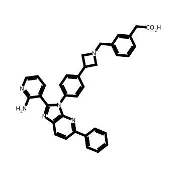 Nc1ncccc1-c1nc2ccc(-c3ccccc3)nc2n1-c1ccc(C2CN(Cc3cccc(CC(=O)O)c3)C2)cc1